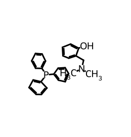 CN(C)Cc1ccccc1O.c1ccc(P(c2ccccc2)c2ccccc2)cc1